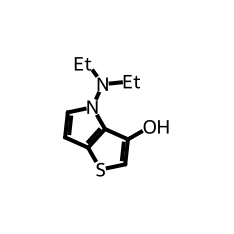 CCN(CC)n1ccc2scc(O)c21